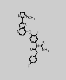 Cn1ccnc1-c1cc2nccc(Oc3ccc(N(C(=O)Cc4ccc(F)cc4)C(N)=S)cc3F)c2s1